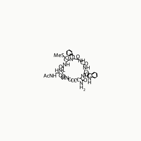 CSCC[C@@H]1NC(=O)C(NC(=O)CNC(C)=O)CC(=O)NCCCCC(C(N)=O)NC(=O)[C@H](Cc2c[nH]c3ccccc23)NC(=O)CNC(=O)C(Cc2ccccc2)NC1=O